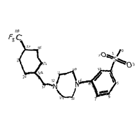 CS(=O)(=O)c1cccc(N2CCN(CC3CCC(C(F)(F)F)CC3)CC2)c1